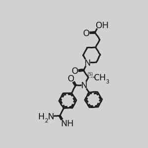 C[C@@H](C(=O)N1CCC(CC(=O)O)CC1)N(C(=O)c1ccc(C(=N)N)cc1)c1ccccc1